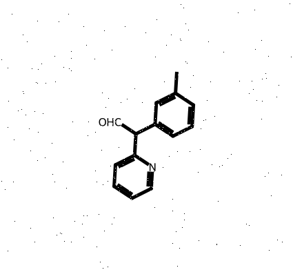 Cc1cccc(C(C=O)c2ccccn2)c1